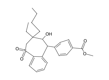 CCCCC1(CC)CS(=O)(=O)c2ccccc2C(c2ccc(C(=O)OC)cc2)C1O